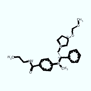 CCCNC(=O)c1ccc(N(C)[C@H](CN2CC[C@H](OCOC)C2)c2ccccc2)cc1